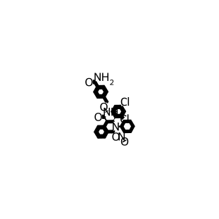 NC(=O)c1ccc(CONC(=O)[C@@H]2c3ccccc3C(=O)N([C@H]3CCCC[C@@H]3N=O)[C@H]2c2ccc(Cl)cc2Cl)cc1